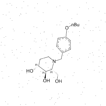 CCCCOc1ccc(CN2CC[C@@H](O)[C@H](O)[C@H]2CO)cc1